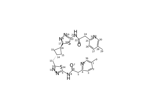 Cc1ccc(CC(=O)Nc2nnc(C[C@H]3C[C@H](c4nnc(NC(=O)Cc5ccc(C)cn5)s4)C3)s2)nc1